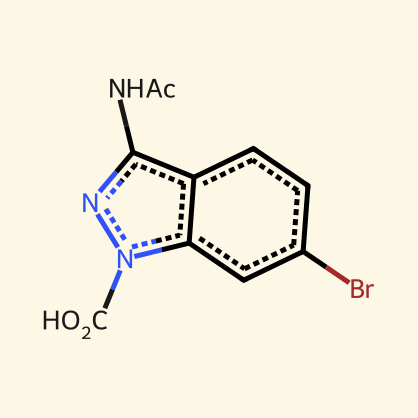 CC(=O)Nc1nn(C(=O)O)c2cc(Br)ccc12